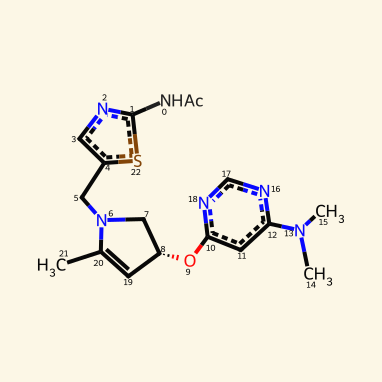 CC(=O)Nc1ncc(CN2C[C@H](Oc3cc(N(C)C)ncn3)C=C2C)s1